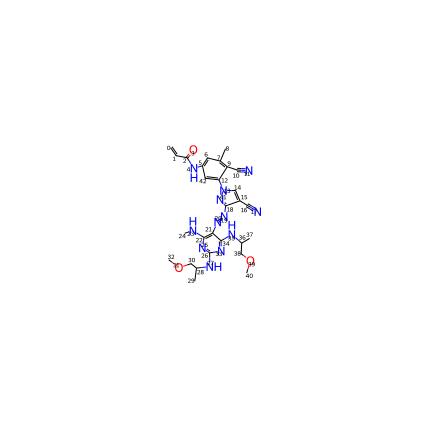 C=CC(=O)Nc1cc(C)c(C#N)c(-n2cc(C#N)c(N=Nc3c(NC)nc(NC(C)COC)nc3NC(C)COC)n2)c1